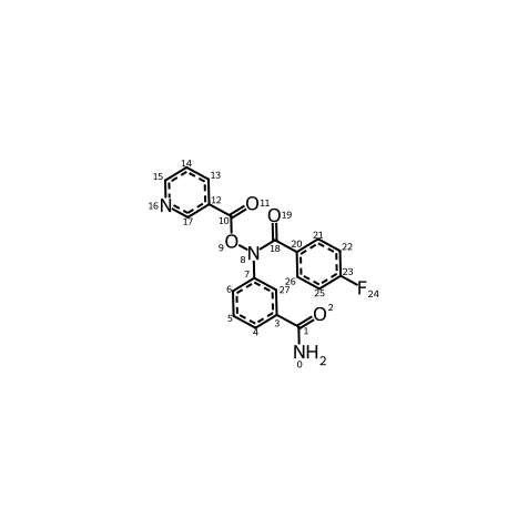 NC(=O)c1cccc(N(OC(=O)c2cccnc2)C(=O)c2ccc(F)cc2)c1